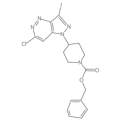 O=C(OCc1ccccc1)N1CCC(n2nc(I)c3nnc(Cl)cc32)CC1